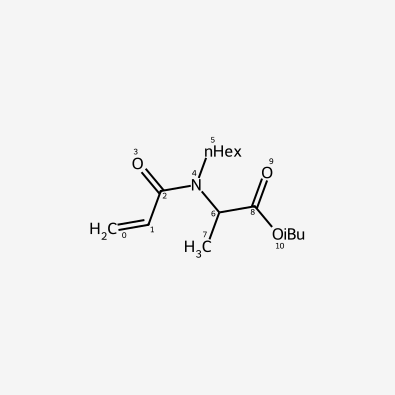 C=CC(=O)N(CCCCCC)C(C)C(=O)OCC(C)C